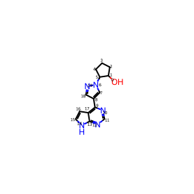 OC1CCC[C]1n1cc(-c2ncnc3[nH]ccc23)cn1